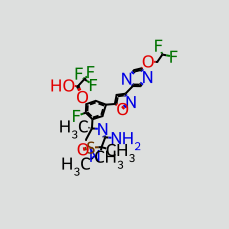 CN=[S@]1(=O)C[C@@](C)(c2cc(-c3cc(-c4cnc(OCC(F)F)cn4)no3)ccc2F)N=C(N)C1(C)C.O=C(O)C(F)(F)F